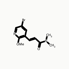 COc1ncc(Br)cc1C=CC(=O)N(C)C